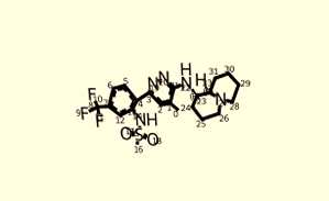 Cc1cc(-c2ccc(C(F)(F)F)cc2NS(C)(=O)=O)nnc1N[C@@H]1CCCN2CCCC[C@H]12